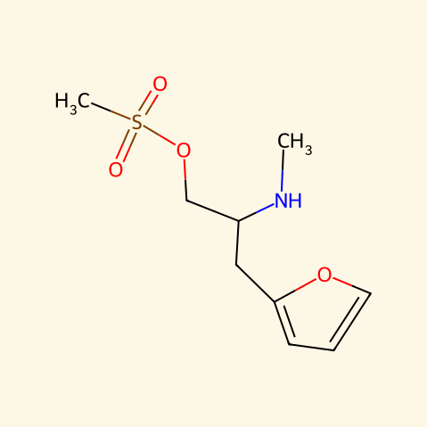 CNC(COS(C)(=O)=O)Cc1ccco1